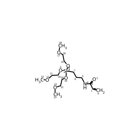 C=CC(=O)NCCC[Si](OCCOC)(OCCOC)OCCOC